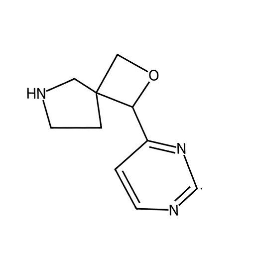 [c]1nccc(C2OCC23CCNC3)n1